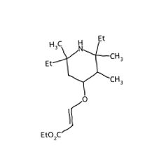 CCOC(=O)C=COC1CC(C)(CC)NC(C)(CC)C1C